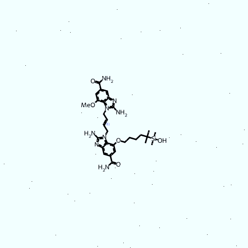 COc1cc(C(N)=O)cc2nc(N)n(C/C=C/Cn3c(N)nc4cc(C(N)=O)cc(OCCCCC(C)(C)[Si](C)(C)O)c43)c12